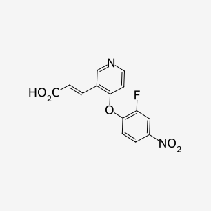 O=C(O)C=Cc1cnccc1Oc1ccc([N+](=O)[O-])cc1F